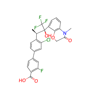 C[C@H](c1ccc(-c2ccc(C(=O)O)c(F)c2)cc1Cl)[C@@](O)(c1cccc2c1OCC(=O)N2C)C(F)(F)F